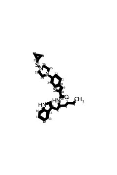 CCCCC(Cc1c[nH]c2ccccc12)NC(=O)c1cc2ccc(N3CCN(SC4CC4)CC3)cc2s1